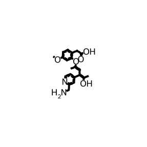 COc1ccc(CC(=O)O)c(O/C(C)=C/C(=C(\C)O)c2ccnc(CN)c2)c1